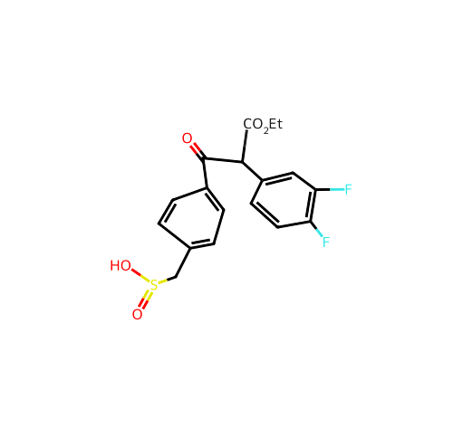 CCOC(=O)C(C(=O)c1ccc(CS(=O)O)cc1)c1ccc(F)c(F)c1